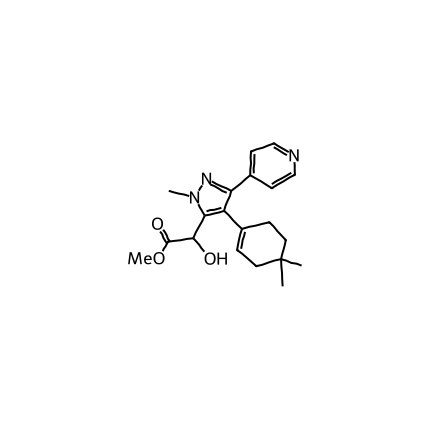 COC(=O)C(O)c1c(C2=CCC(C)(C)CC2)c(-c2ccncc2)nn1C